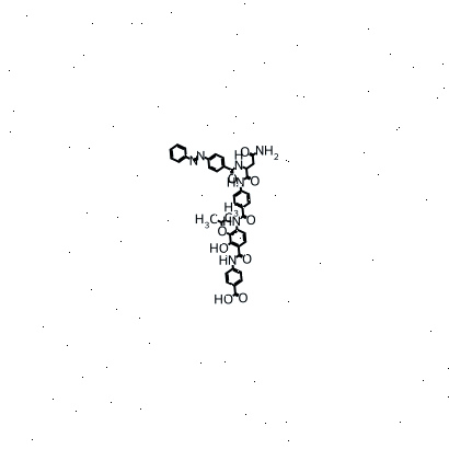 CC(C)Oc1c(NC(=O)c2ccc(NC(=O)C(CC(N)=O)NC(=O)c3ccc(N=Nc4ccccc4)cc3)cc2)ccc(C(=O)Nc2ccc(C(=O)O)cc2)c1O